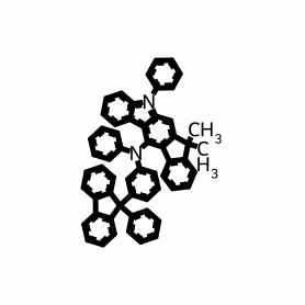 CC1(C)c2ccccc2-c2c1cc1c(c2N(c2ccccc2)c2cccc(C3(c4ccccc4)c4ccccc4-c4ccccc43)c2)c2ccccc2n1-c1ccccc1